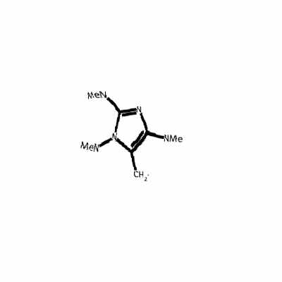 [CH2]c1c(NC)nc(NC)n1NC